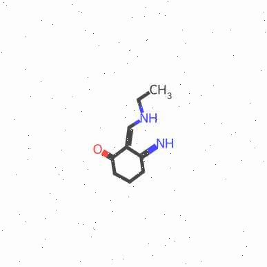 CCN/C=C1\C(=N)CCCC1=O